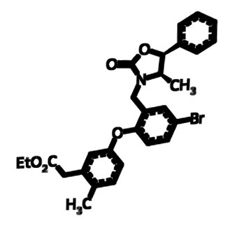 CCOC(=O)Cc1cc(Oc2ccc(Br)cc2CN2C(=O)O[C@@H](c3ccccc3)[C@H]2C)ccc1C